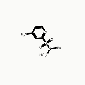 CC(C)(C)N(C(=O)O)S(=O)(=O)c1cc(N)ccn1